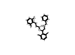 Cc1cccc(C)c1C(CNCc1ccccc1)OCCCc1c(F)cccc1F